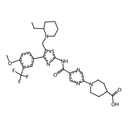 CCC1CCCCN1Cc1sc(NC(=O)c2cnc(N3CCC(C(=O)O)CC3)cn2)nc1-c1ccc(OC)c(C(F)(F)F)c1